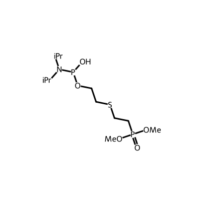 COP(=O)(CCSCCOP(O)N(C(C)C)C(C)C)OC